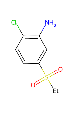 CCS(=O)(=O)c1ccc(Cl)c(N)c1